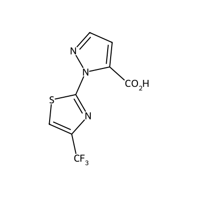 O=C(O)c1ccnn1-c1nc(C(F)(F)F)cs1